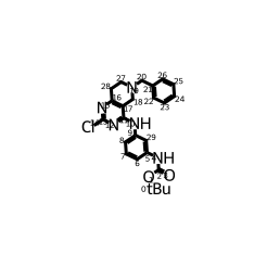 CC(C)(C)OC(=O)Nc1cccc(Nc2nc(Cl)nc3c2CN(Cc2ccccc2)CC3)c1